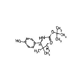 CC(C)(C)OC(=O)N[C@H](c1ccc(O)cc1)C(C)(C)C